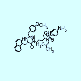 COc1ccc(CC(=O)N[C@@H](Cc2cccc3ccccc23)C(=O)NCCCC(CO)N(CC(C)C)S(=O)(=O)c2ccc(N)cc2)cc1